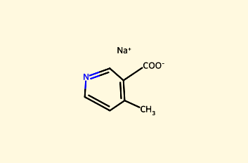 Cc1ccncc1C(=O)[O-].[Na+]